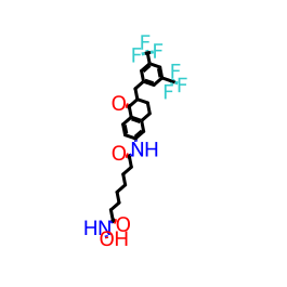 O=C(CCCCCCC(=O)Nc1ccc2c(c1)CCC(Cc1cc(C(F)(F)F)cc(C(F)(F)F)c1)C2=O)NO